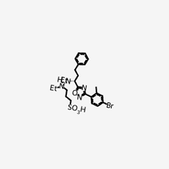 CCN(CC)CCCS(=O)(=O)O.Cc1cc(Br)ccc1-c1noc([C@H](N)CCc2ccccc2)n1